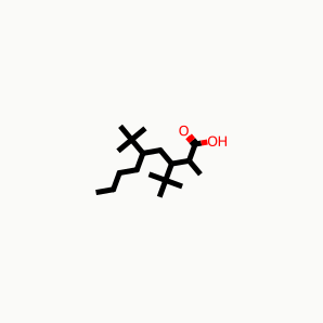 CCCCC(CC(C(C)C(=O)O)C(C)(C)C)C(C)(C)C